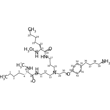 CCCCC[C@H](NC)C(=O)NCCCN(CCCNC(=O)[C@H](CCCCC)NC)CCOc1ccc(CCCCN)cc1